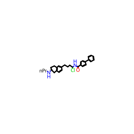 CCCN[C@H]1CCc2cc(CCCC(Cl)NC(=O)c3ccc(-c4ccccc4)cc3)ccc2C1